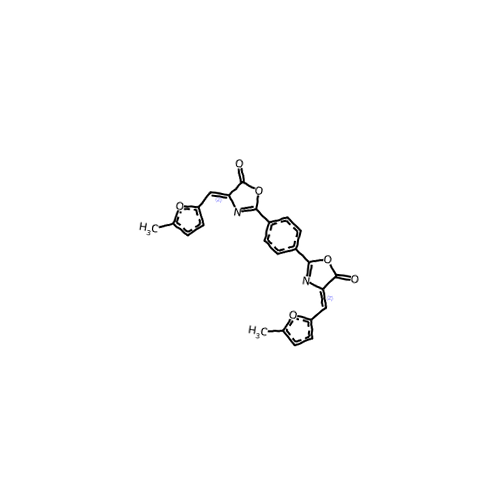 Cc1ccc(/C=C2\N=C(c3ccc(C4=N/C(=C\c5ccc(C)o5)C(=O)O4)cc3)OC2=O)o1